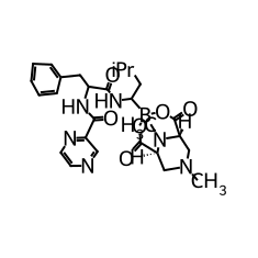 CC(C)CC(NC(=O)C(Cc1ccccc1)NC(=O)c1cnccn1)B1OC(=O)[C@@H]2CN(C)C[C@@H](C(=O)O1)N2C